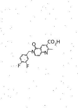 Cc1nc2ccn(Cc3ccc(F)c(F)c3)c(=O)c2cc1C(=O)O